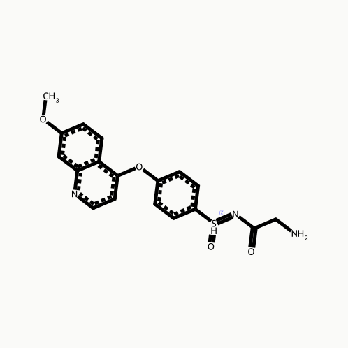 COc1ccc2c(Oc3ccc(/[SH](=O)=N/C(=O)CN)cc3)ccnc2c1